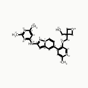 Cc1cc(-c2ccn3nc(Nc4cc(C)nc(C)n4)cc3c2)c(OCC2(CO)COC2)cn1